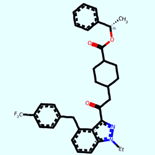 CCn1nc(C(=O)CC2CCC(C(=O)O[C@@H](C)c3ccccc3)CC2)c2c(Cc3ccc(C(F)(F)F)cc3)cccc21